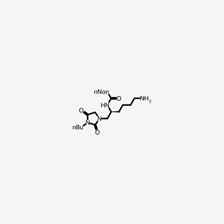 CCCCCCCCCC(=O)N[C@@H](CCCCN)CN1CC(=O)N(CCCC)C1=O